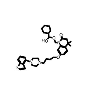 CC1(C)CC(=O)N(COC(O)C2CCCCC2)c2cc(OCCCCN3CCN(c4cccc5sccc45)CC3)ccc21